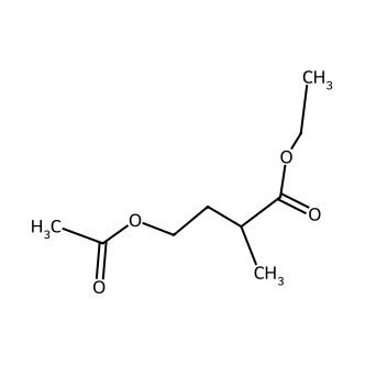 CCOC(=O)C(C)CCOC(C)=O